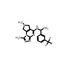 Cc1nnc2nc(NC(C)c3cccc(C(F)(F)F)c3)c3c(n12)CN(C)C3